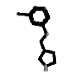 Brc1cncc(OCC2CCNC2)c1